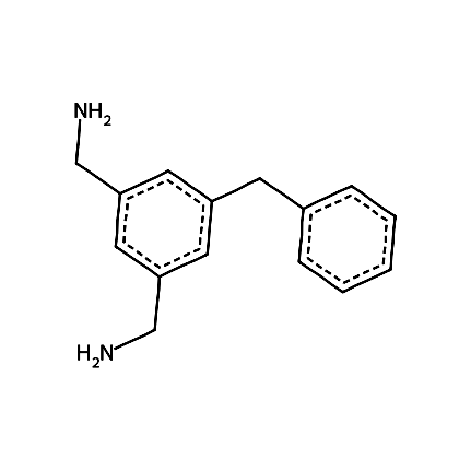 NCc1cc(CN)cc(Cc2ccccc2)c1